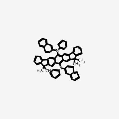 CC1(C)c2ccccc2-c2cc3c(N(c4ccccc4)c4ccc5ccccc5c4)c4cc5c(cc4c(N(c4ccccc4)c4ccc6ccccc6c4)c3cc21)C(C)(C)c1ccccc1-5